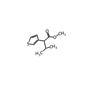 COC(=O)C(c1ccsc1)C(C)C